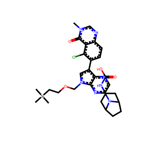 Cn1cnc2ccc(-c3cn(COCC[Si](C)(C)C)c4nc(N5C6CCC5CC(NC(=O)O)C6)cnc34)c(Cl)c2c1=O